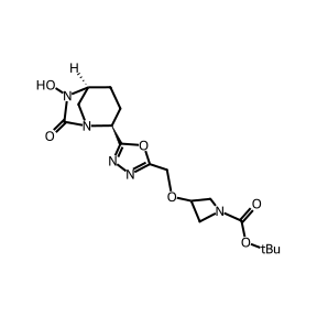 CC(C)(C)OC(=O)N1CC(OCc2nnc([C@@H]3CC[C@H]4CN3C(=O)N4O)o2)C1